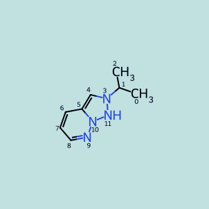 CC(C)N1C=C2C=CC=NN2N1